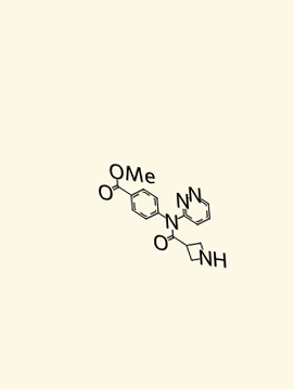 COC(=O)c1ccc(N(C(=O)C2CNC2)c2cccnn2)cc1